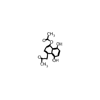 CC(=O)Cc1ccc(OC(C)=O)c2c(O)ccc(O)c12